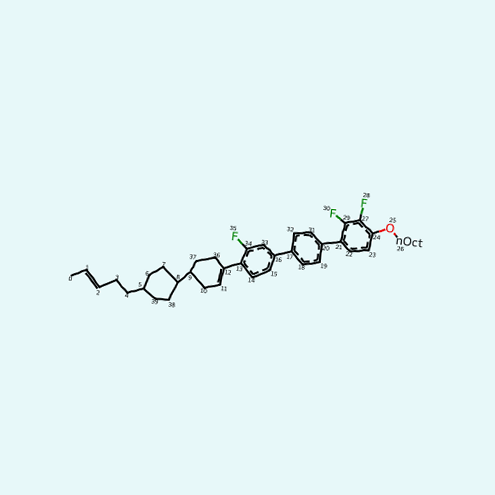 C/C=C/CCC1CCC(C2CC=C(c3ccc(-c4ccc(-c5ccc(OCCCCCCCC)c(F)c5F)cc4)cc3F)CC2)CC1